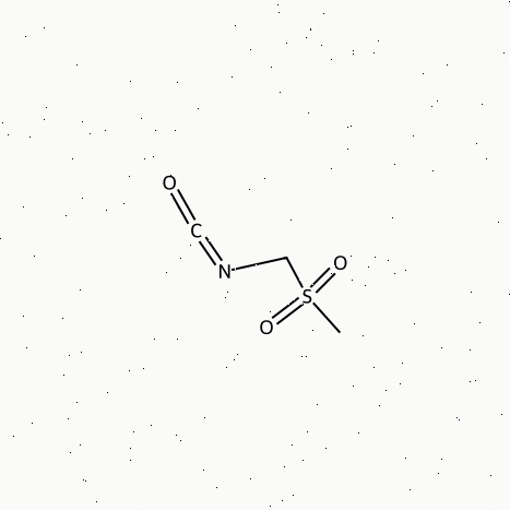 CS(=O)(=O)CN=C=O